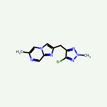 Cc1cn2cc(Cc3nn(C)nc3Br)nc2cn1